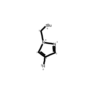 [2H]c1cnn(CC(C)(C)C)c1